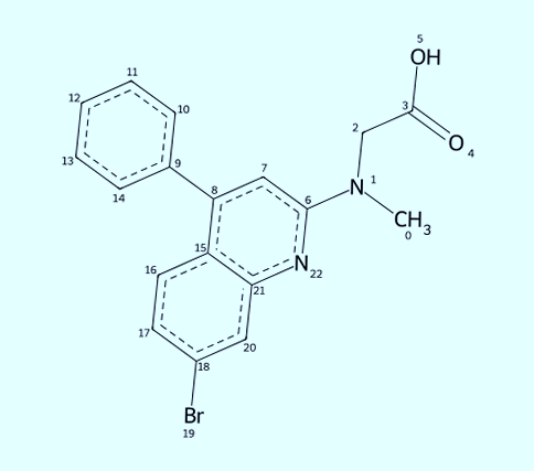 CN(CC(=O)O)c1cc(-c2ccccc2)c2ccc(Br)cc2n1